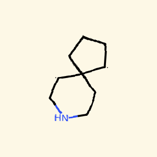 [CH]1CCCC12[CH]CNCC2